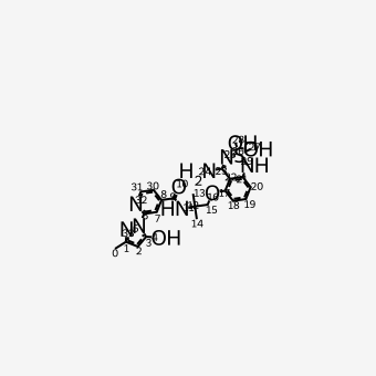 Cc1cc(O)n(-c2cc(C(=O)NC(C)(C)COc3cccc4c3C(N)=NS(O)(O)N4)ccn2)n1